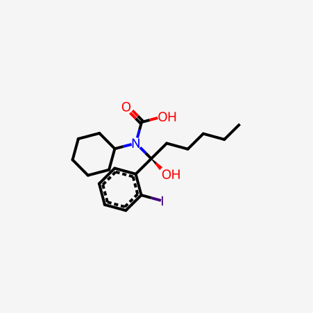 CCCCC[C@](O)(c1ccccc1I)N(C(=O)O)C1CCCCC1